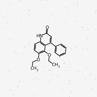 CCOc1ccc2[nH]c(=O)cc(-c3c[c]ccc3)c2c1OCC